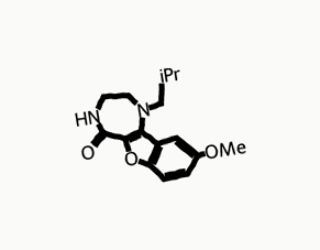 COc1ccc2oc3c(c2c1)N(CC(C)C)CCNC3=O